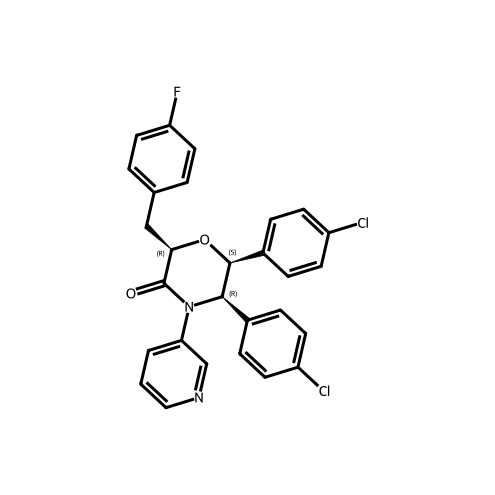 O=C1[C@@H](Cc2ccc(F)cc2)O[C@@H](c2ccc(Cl)cc2)[C@@H](c2ccc(Cl)cc2)N1c1cccnc1